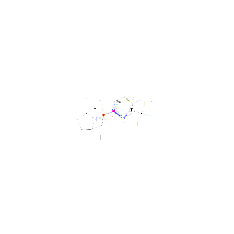 CC1CCN(C2C[C@H]3CC[C@@H](C2)N3S(=O)(=O)c2csc(C(F)(F)F)n2)CC1